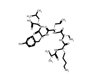 C=CC[C@H](NC(=O)[C@H](CN)NC(=O)[C@H](CCCCN)NC(=O)[C@H](C)N)C(=O)N[C@@H](Cc1ccc(O)cc1)C(=O)N[C@@H](CC(C)C)C(=O)O